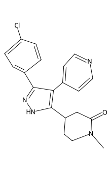 CN1CCC(c2[nH]nc(-c3ccc(Cl)cc3)c2-c2ccncc2)CC1=O